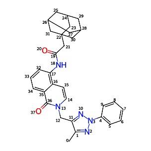 Cc1nn(-c2ccccc2)nc1Cn1ccc2c(NC(=O)CC34CC5CC(CC(C5)C3)C4)cccc2c1=O